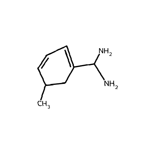 CC1C=CC=C(C(N)N)C1